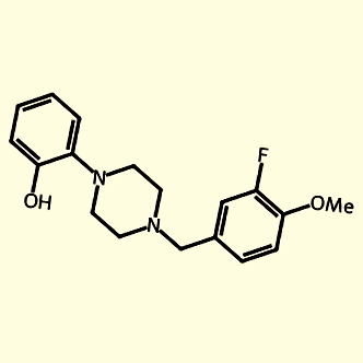 COc1ccc(CN2CCN(c3ccccc3O)CC2)cc1F